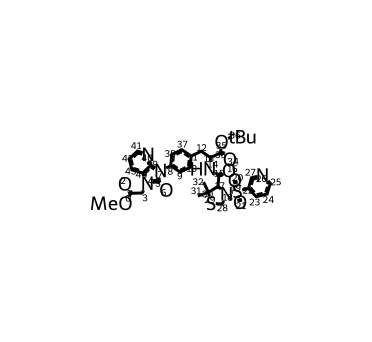 COC(=O)Cn1c(=O)n(-c2ccc(CC(NC(=O)C3N(S(=O)(=O)c4cccnc4)CSC3(C)C)C(=O)OC(C)(C)C)cc2)c2ncccc21